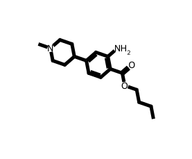 CCCCOC(=O)c1ccc(C2CCN(C)CC2)cc1N